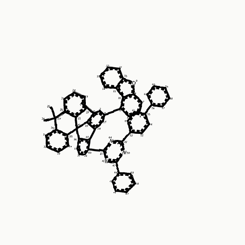 Cc1cc(-c2cccc3oc4ccccc4c23)cc2c1C1(c3ccccc3C(C)(C)c3ccccc31)c1cccc(-c3nc(-c4ccccc4)nc(-c4ccc(-c5ccccc5)cc4)n3)c1-2